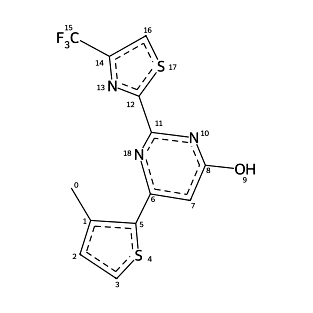 Cc1ccsc1-c1cc(O)nc(-c2nc(C(F)(F)F)cs2)n1